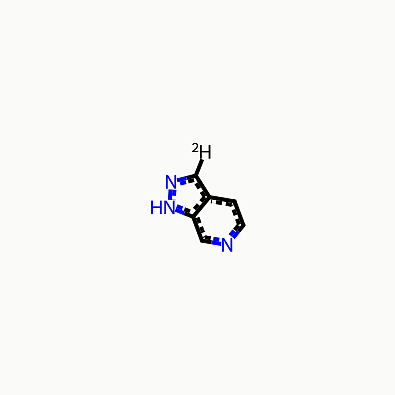 [2H]c1n[nH]c2cnccc12